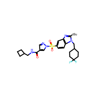 CC(C)(C)c1nc2cc(S(=O)(=O)n3cc(C(=O)NCC4CCC4)cn3)ccc2n1CC1CCC(F)(F)CC1